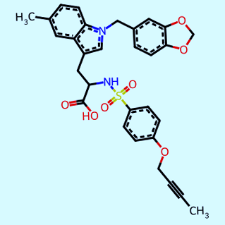 CC#CCOc1ccc(S(=O)(=O)NC(Cc2cn(Cc3ccc4c(c3)OCO4)c3ccc(C)cc23)C(=O)O)cc1